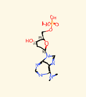 CN(C)c1ncnc2c1ncn2[C@H]1C[C@H](O)[C@@H](COP(=O)(O)O)O1